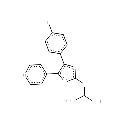 CCOC(=O)C(Sc1nc(-c2ccc(F)cc2)c(-c2ccncc2)[nH]1)C(=O)OCC